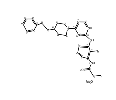 CO[C@@H](C)C(=O)Nc1cccc(Nc2ncnc(N3CCC(OCc4ccccc4)CC3)n2)c1C